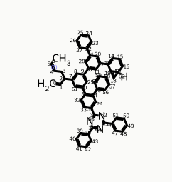 C=CC(C/C=C\C)c1cc(-c2cc(C3=CC=C[C@@H]4C=C34)cc(-c3ccccc3)c2)cc(-c2ccc(-c3nc(-c4ccccc4)nc(-c4ccccc4)n3)cc2-c2ccccc2)c1